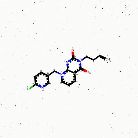 C=CCCn1c(=O)nc2n(Cc3ccc(Cl)nc3)cccc-2c1=O